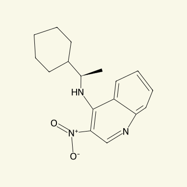 C[C@@H](Nc1c([N+](=O)[O-])cnc2ccccc12)C1CCCCC1